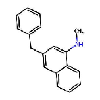 CNc1cc(Cc2ccccc2)cc2ccccc12